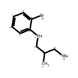 CC(CPc1ccccc1Br)CC(C)(C)C